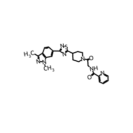 Cc1nn(C)c2cc(-c3nsc(C4CCN(C(=O)CNC(=O)c5ccccn5)CC4)n3)ccc12